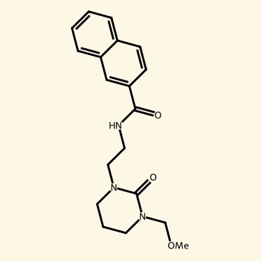 COCN1CCCN(CCNC(=O)c2ccc3ccccc3c2)C1=O